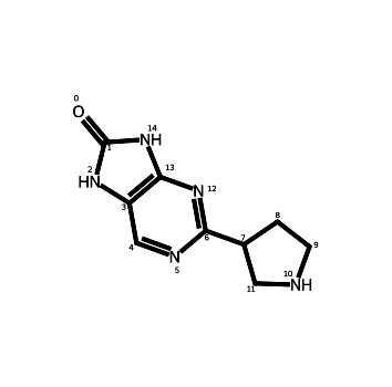 O=c1[nH]c2cnc(C3CCNC3)nc2[nH]1